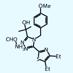 CCc1nc(-c2nnc(C(C)(C)O)n2Cc2ccc(OC)cc2)sc1CC.NC=O